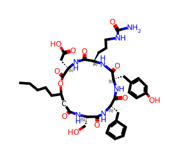 CCCCCC1CC(=O)N[C@@H](CO)C(=O)N[C@@H](Cc2ccccc2)C(=O)N[C@@H](Cc2ccc(O)cc2)C(=O)N[C@H](CCCNC(N)=O)C(=O)N[C@@H](CC(=O)O)C(=O)O1